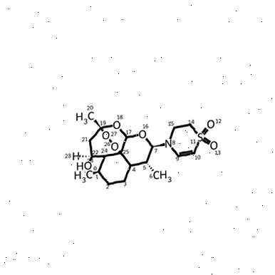 C[C@@H]1CCC2[C@@H](C)[C@H](N3C=CS(=O)(=O)CC3)OC3O[C@@]4(C)C[C@H](O)C1[C@]32OO4